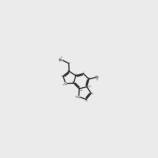 BrCc1coc2c1cc(Br)c1ccoc12